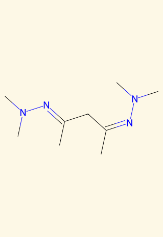 C/C(C/C(C)=N/N(C)C)=N/N(C)C